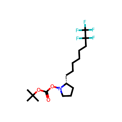 CC(C)(C)OC(=O)ON1CCC[C@H]1CCCCCCC(F)(F)C(F)(F)F